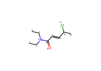 CCN(CC)C(=O)/C=C/C(C)Cl